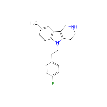 Cc1ccc2c(c1)c1c(n2CCc2ccc(F)cc2)CCNC1